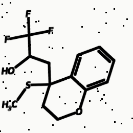 CSC1(CC(O)C(F)(F)F)CCOc2ccccc21